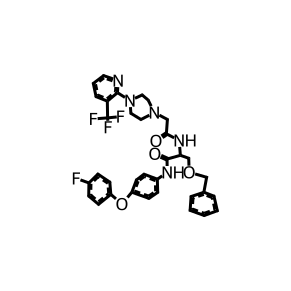 O=C(CN1CCN(c2ncccc2C(F)(F)F)CC1)NC(COCc1ccccc1)C(=O)Nc1ccc(Oc2ccc(F)cc2)cc1